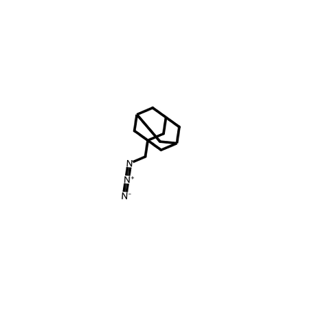 [N-]=[N+]=NCC12CC3CC(CC(C3)C1)C2